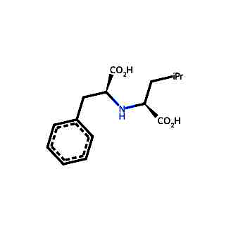 CC(C)C[C@H](N[C@@H](Cc1ccccc1)C(=O)O)C(=O)O